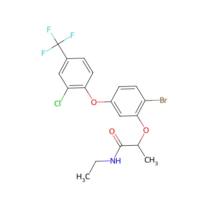 CCNC(=O)C(C)Oc1cc(Oc2ccc(C(F)(F)F)cc2Cl)ccc1Br